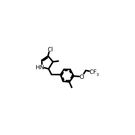 Cc1cc(CC2NC=C(Cl)C2C)ccc1OCC(F)(F)F